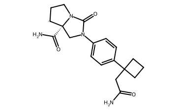 NC(=O)CC1(c2ccc(N3C[C@@]4(C(N)=O)[CH]CCN4C3=O)cc2)CCC1